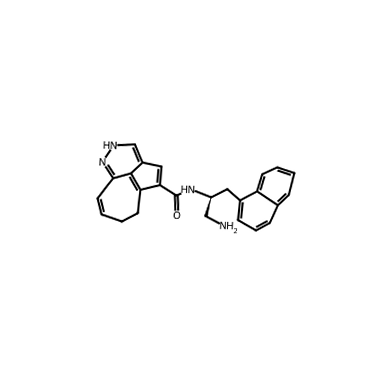 NC[C@H](Cc1cccc2ccccc12)NC(=O)c1cc2c[nH]nc3c-2c1CCC=C3